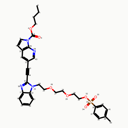 CCCCOC(=O)n1ccc2cc(C#Cc3nc4ccccc4n3CCOCCOCCOS(=O)(=O)c3ccc(C)cc3)cnc21